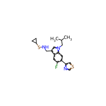 CC(C)Cn1cc(CNSC2CC2)c2cc(F)c(-c3cscn3)cc21